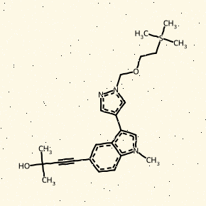 Cn1cc(-c2cnn(COCCS(C)(C)C)c2)c2cc(C#CC(C)(C)O)ccc21